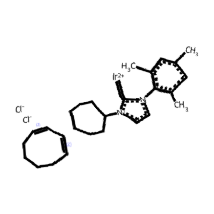 C1=C\CCCC\C=C/1.Cc1cc(C)c(-n2ccn(C3CCCCCC3)[c]2=[Ir+2])c(C)c1.[Cl-].[Cl-]